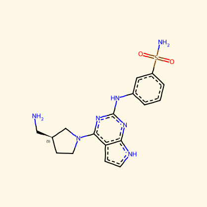 NC[C@@H]1CCN(c2nc(Nc3cccc(S(N)(=O)=O)c3)nc3[nH]ccc23)C1